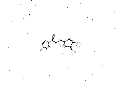 Cc1ccc(C(=O)CCC2CC(F)C(C#N)O2)cc1